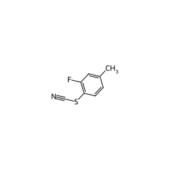 Cc1ccc(SC#N)c(F)c1